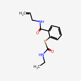 C=CCNC(=O)c1ccccc1SC(=O)NCC